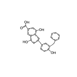 O=C(O)c1cc(O)c2cc(-c3ccc(O)c(Cc4ccccc4)c3)cc(O)c2c1